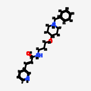 O=C(C=Cc1cccnc1)NCCCOC1CCN(Cc2ccccc2)CC1